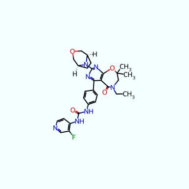 CCN1CC(C)(C)Oc2nc(N3[C@@H]4CC[C@H]3COC4)nc(-c3ccc(NC(=O)Nc4ccncc4F)cc3)c2C1=O